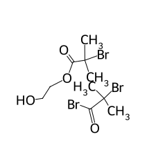 CC(C)(Br)C(=O)Br.CC(C)(Br)C(=O)OCCO